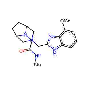 COc1cccc2[nH]c(CN3CC4CCC(C3)N4CC(=O)NC(C)(C)C)nc12